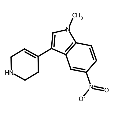 Cn1cc(C2=CCNCC2)c2cc([N+](=O)[O-])ccc21